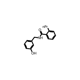 CCCc1ccccc1C(=O)NCc1cccc(O)c1